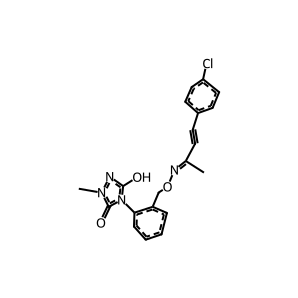 C/C(C#Cc1ccc(Cl)cc1)=N\OCc1ccccc1-n1c(O)nn(C)c1=O